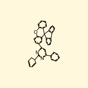 C1=CCC(c2nc(-c3ccccc3)cc(-c3ccc4c(c3)C3(c5ccccc5O4)c4ccccc4-c4ccccc43)n2)C=C1